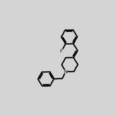 Fc1ccccc1C=C1CCN(Cc2ccccc2)CC1